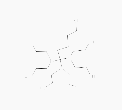 CCCCCC(P(CCC)CCC)(P(CCC)CCC)P(CCC)CCC